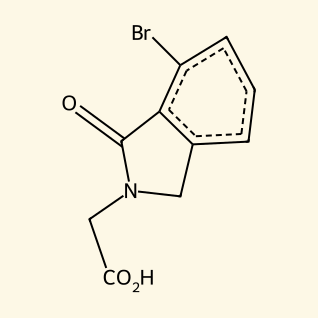 O=C(O)CN1Cc2cccc(Br)c2C1=O